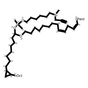 C#CCN(C)CCCCCCO[Si](C)(C)OC(CCCCCCCC1CC1CCCCCCCC)OCCCCCCCC/C=C\C/C=C\CCCCC